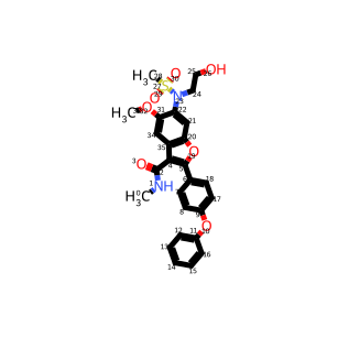 CNC(=O)c1c(-c2ccc(Oc3ccccc3)cc2)oc2cc(N(CCO)S(C)(=O)=O)c(OC)cc12